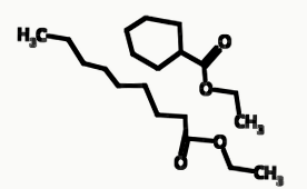 CCCCCCCCC(=O)OCC.CCOC(=O)C1CCCCC1